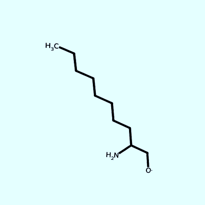 CCCCCCCCC(N)C[O]